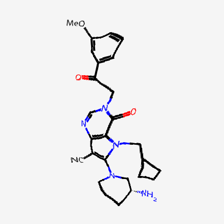 COc1cccc(C(=O)Cn2cnc3c(C#N)c(N4CCC[C@@H](N)C4)n(CC4CCC4)c3c2=O)c1